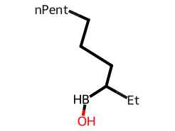 CCCCCCCCC(BO)CC